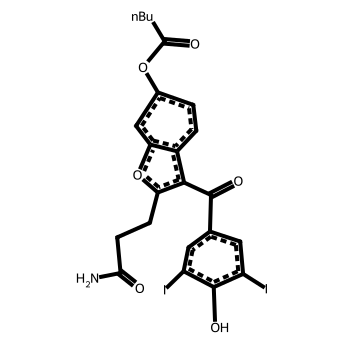 CCCCC(=O)Oc1ccc2c(C(=O)c3cc(I)c(O)c(I)c3)c(CCC(N)=O)oc2c1